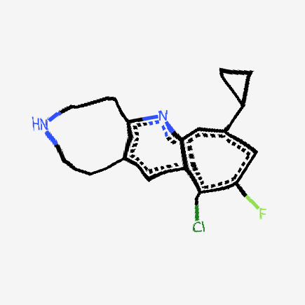 Fc1cc(C2CC2)c2nc3c(cc2c1Cl)CCNCC3